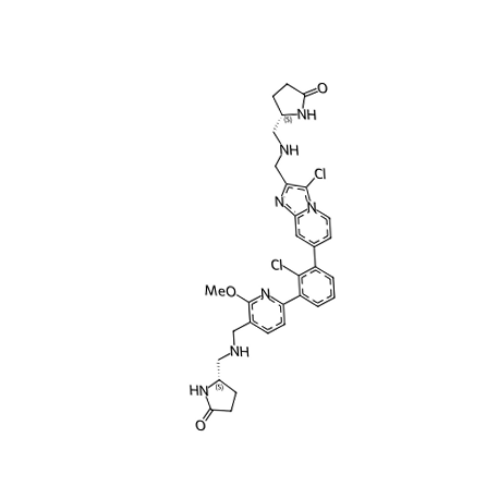 COc1nc(-c2cccc(-c3ccn4c(Cl)c(CNC[C@@H]5CCC(=O)N5)nc4c3)c2Cl)ccc1CNC[C@@H]1CCC(=O)N1